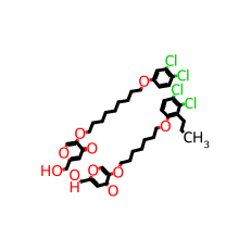 CCCc1c(OCCCCCCCOc2coc(CO)cc2=O)ccc(Cl)c1Cl.O=c1cc(CO)occ1OCCCCCCCCCOc1ccc(Cl)c(Cl)c1